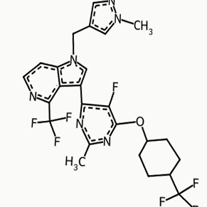 Cc1nc(OC2CCC(C(F)(F)F)CC2)c(F)c(-c2cn(Cc3cnn(C)c3)c3ccnc(C(F)(F)F)c23)n1